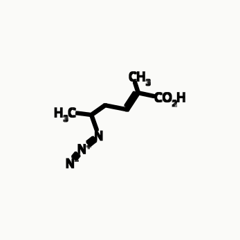 CC(=CCC(C)N=[N+]=[N-])C(=O)O